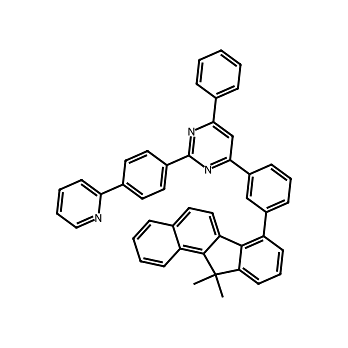 CC1(C)c2cccc(-c3cccc(-c4cc(-c5ccccc5)nc(-c5ccc(-c6ccccn6)cc5)n4)c3)c2-c2ccc3ccccc3c21